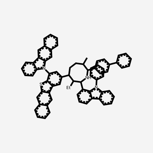 CCC1C(c2cc(-n3c4ccccc4c4cc5ccccc5cc43)c3sc4cc5ccccc5cc4c3c2)CCC(C)C(c2ccc(-c3ccccc3)cc2)NC1c1cccc2c3ccccc3n(-c3ccccc3)c12